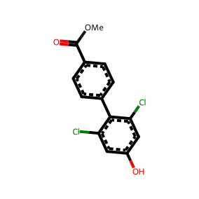 COC(=O)c1ccc(-c2c(Cl)cc(O)cc2Cl)cc1